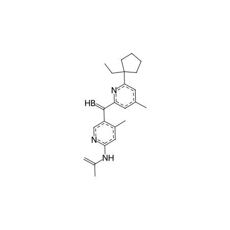 B=C(c1cc(C)cc(C2(CC)CCCC2)n1)c1cnc(NC(=C)C)cc1C